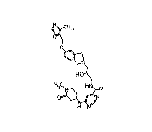 Cc1ncoc1COc1ccc2c(c1)CCN(CC(O)CNC(=O)c1cc(NC3CCN(C)C(=O)C3)ncn1)C2